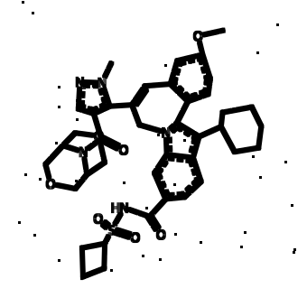 COc1ccc2c(c1)C=C(c1c(C(=O)N3C4COCC3COC4)cnn1C)Cn1c-2c(C2CCCCC2)c2ccc(C(=O)NS(=O)(=O)C3CCC3)cc21